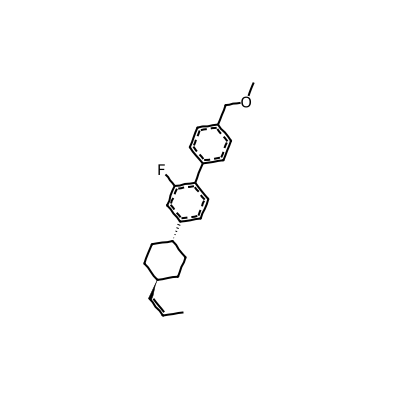 C/C=C\[C@H]1CC[C@H](c2ccc(-c3ccc(COC)cc3)c(F)c2)CC1